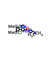 COc1cc(OC)c(Cl)c(-c2ccc(C(=O)Nc3ccc(CN(C)C)cn3)c3nccnc23)c1Cl